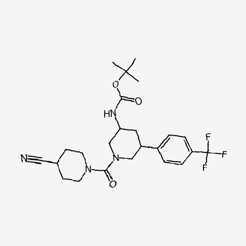 CC(C)(C)OC(=O)NC1CC(c2ccc(C(F)(F)F)cc2)CN(C(=O)N2CCC(C#N)CC2)C1